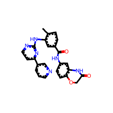 Cc1ccc(C(=O)Nc2ccc3c(c2)NC(=O)CO3)cc1Nc1nccc(-c2cccnc2)n1